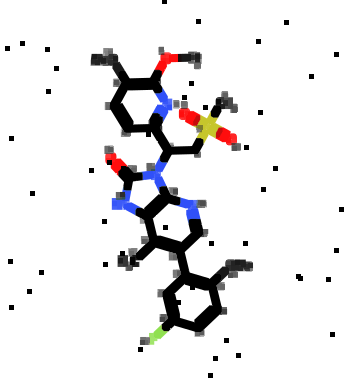 CCOc1nc(C(CS(C)(=O)=O)n2c(=O)[nH]c3c(C)c(-c4cc(F)ccc4OC)cnc32)ccc1OC